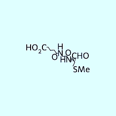 CSCC[C@@H](C=O)NC(=O)CNC(=O)CCCC(=O)O